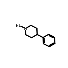 CCN1CCC(c2ccccc2)CC1